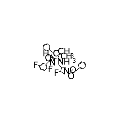 CC(C)(C)C(NCC1CN(C(=O)OCc2ccccc2)CC1F)c1nc(-c2cc(F)ccc2F)oc1Cc1ccccc1